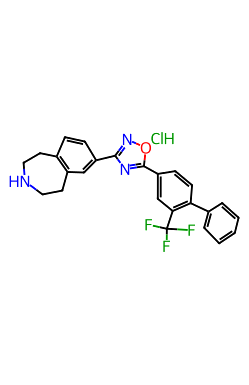 Cl.FC(F)(F)c1cc(-c2nc(-c3ccc4c(c3)CCNCC4)no2)ccc1-c1ccccc1